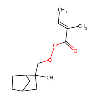 CC=C(C)C(=O)OOCC1(C)CC2CCC1C2